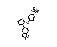 FS(F)(F)(F)(F)c1ccc(Oc2ncccc2-c2ccc3oncc3c2)cc1